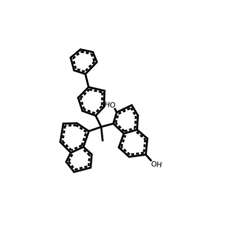 CC(c1ccc(-c2ccccc2)cc1)(c1cccc2ccccc12)c1c(O)ccc2cc(O)ccc12